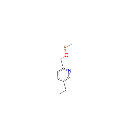 CCc1ccc(COSC)nc1